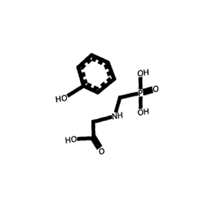 O=C(O)CNCP(=O)(O)O.Oc1ccccc1